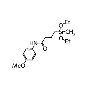 CCO[Si](C)(CCCC(=O)Nc1ccc(OC)cc1)OCC